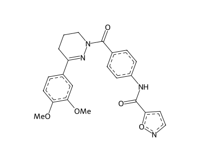 COc1ccc(C2=NN(C(=O)c3ccc(NC(=O)c4ccno4)cc3)CCC2)cc1OC